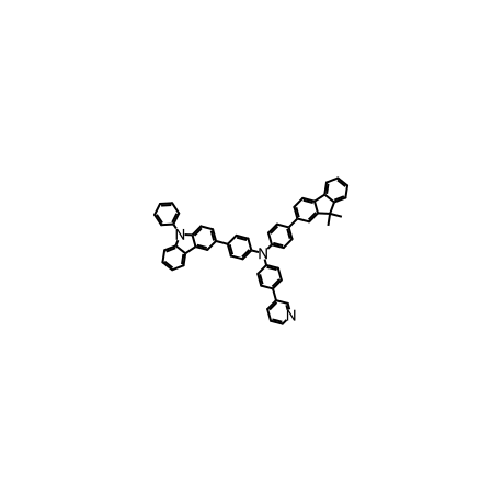 CC1(C)c2ccccc2-c2ccc(-c3ccc(N(c4ccc(-c5cccnc5)cc4)c4ccc(-c5ccc6c(c5)c5ccccc5n6-c5ccccc5)cc4)cc3)cc21